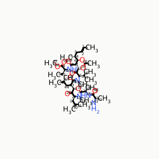 C/C=C/C[C@@H](C)[C@@H](OC(C)=O)[C@H](CC(=O)[C@H](C(C)C)N(C)C(=O)[C@@H](CC(=O)[C@H](CC(C)C)N(C)C(=O)[C@@H](C)NC(=O)[C@H](C)N)CC(C)C)C(=O)N[C@@H](CC)C(=O)OC